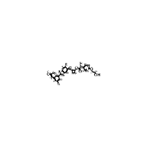 COc1cnc2c(-c3nc4cc(F)c(OC5CCC5OC(=O)Nc5cnc(OCCO)nc5)cc4s3)cc(C)cc2c1